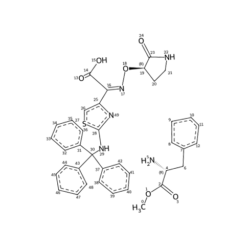 COC(=O)[C@H](N)Cc1ccccc1.O=C(O)C(=NO[C@@H]1CCNC1=O)c1csc(NC(c2ccccc2)(c2ccccc2)c2ccccc2)n1